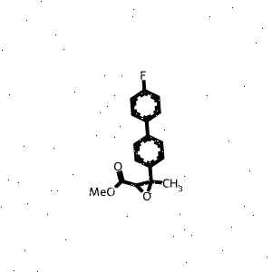 COC(=O)C1OC1(C)c1ccc(-c2ccc(F)cc2)cc1